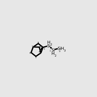 [SiH3][SiH2][SiH2]C1=C2CCC(C2)C1